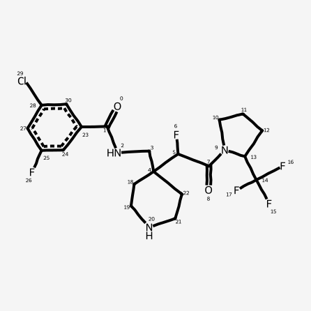 O=C(NCC1(C(F)C(=O)N2CCCC2C(F)(F)F)CCNCC1)c1cc(F)cc(Cl)c1